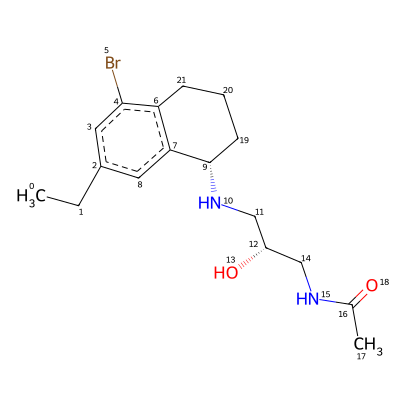 CCc1cc(Br)c2c(c1)[C@@H](NC[C@@H](O)CNC(C)=O)CCC2